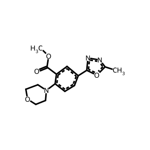 COC(=O)c1cc(-c2nnc(C)o2)ccc1N1CCOCC1